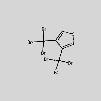 BrC(Br)(Br)c1cscc1C(Br)(Br)Br